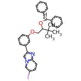 CC(C)(C)C(COc1cccc(-c2cn3cc(I)ccc3n2)c1)O[SiH](c1ccccc1)c1ccccc1